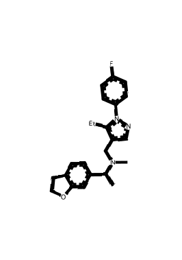 CCc1c(CN(C)C(C)c2ccc3c(c2)OCC3)cnn1-c1ccc(F)cc1